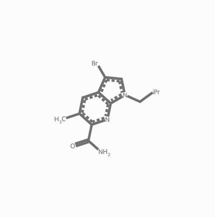 Cc1cc2c(Br)cn(CC(C)C)c2nc1C(N)=O